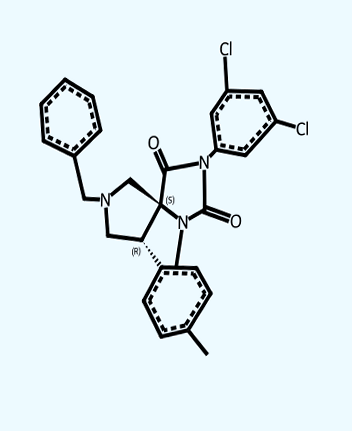 Cc1ccc([C@@H]2CN(Cc3ccccc3)C[C@]23C(=O)N(c2cc(Cl)cc(Cl)c2)C(=O)N3C)cc1